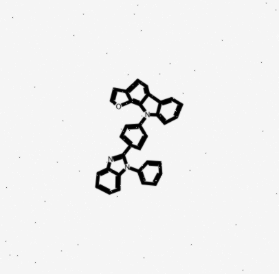 c1ccc(-n2c(-c3ccc(-n4c5ccccc5c5ccc6ccoc6c54)cc3)nc3ccccc32)cc1